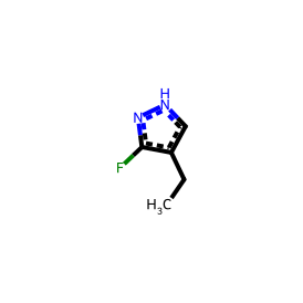 CCc1c[nH]nc1F